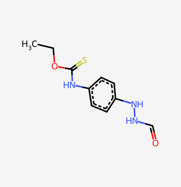 CCOC(=S)Nc1ccc(NNC=O)cc1